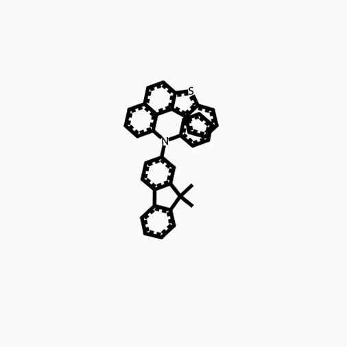 CC1(C)c2ccccc2-c2ccc(N(c3ccccc3)c3cccc4ccc5sc6ccccc6c5c34)cc21